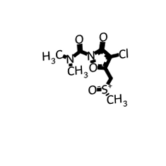 CN(C)C(=O)n1oc(C[S+](C)[O-])c(Cl)c1=O